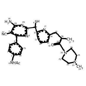 CC(=O)Nc1ccc(-c2nc(C(S)c3cccc(CC(C)C(=O)N4CCN(C)CC4)n3)nc(N)c2C#N)cc1